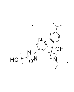 CCN1CC(C)(C(O)(c2ccc(C(C)C)cc2)c2cncc(-c3noc(C(C)(C)O)n3)c2)C1